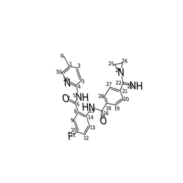 Cc1ccc(NC(=O)c2cc(F)ccc2NC(=O)c2ccc(C(=N)N3CC3)cc2)nc1